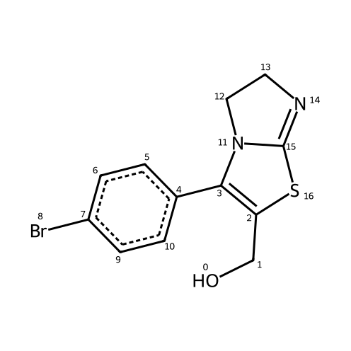 OCC1=C(c2ccc(Br)cc2)N2CCN=C2S1